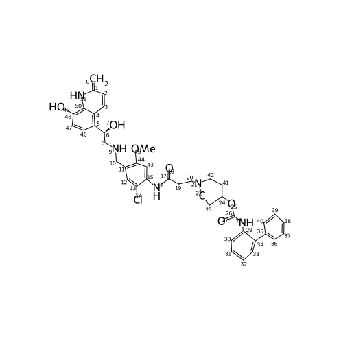 C=C1C=Cc2c([C@@H](O)CNCc3cc(Cl)c(NC(=O)CCN4CCC(OC(=O)Nc5ccccc5-c5ccccc5)CC4)cc3OC)ccc(O)c2N1